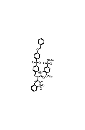 CNS(=O)(=O)c1ccc(OC)c(NC(=O)C(Oc2ccc(S(=O)(=O)c3ccc(OCc4ccccc4)cc3)cc2)C2=Nc3ccccc3S(=O)(=O)N2C)c1